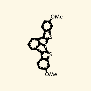 COc1ccc2c(c1)sc1c2c2cccc3c4c5ccc(OC)cc5sc4n1c23